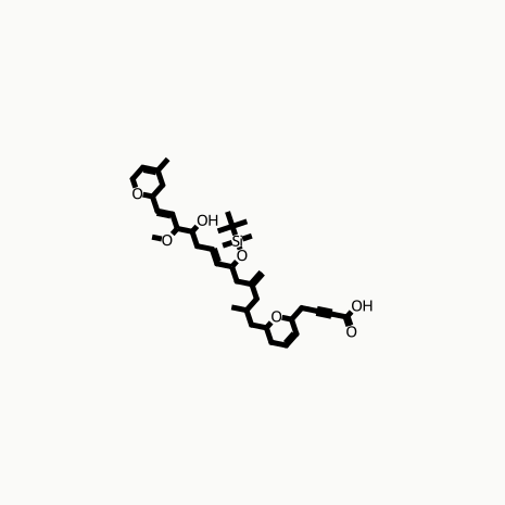 C=C(CC(C)CC1CC=CC(CC#CC(=O)O)O1)CC(/C=C/CC(O)C(/C=C/C1CC(C)=CCO1)OC)O[Si](C)(C)C(C)(C)C